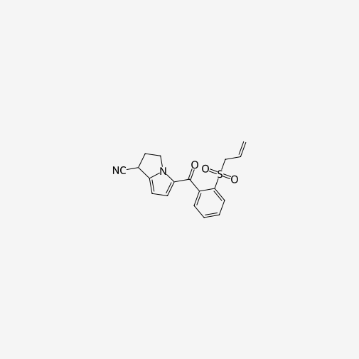 C=CCS(=O)(=O)c1ccccc1C(=O)c1ccc2n1CCC2C#N